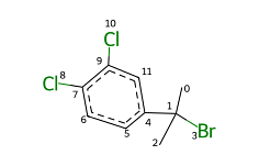 CC(C)(Br)c1ccc(Cl)c(Cl)c1